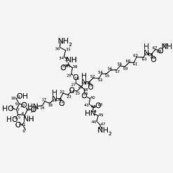 CC(=O)NC1C(O)[C@@H](O)C(CO)O[C@H]1ONCCCNC(=O)CCOCC(COCCC(=O)NCCCN)(COCCC(=O)NCCCN)NC(=O)CCCCCCCCCCCCNC(=O)CON